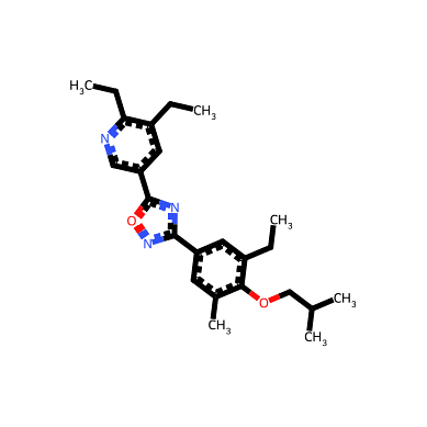 CCc1cc(-c2nc(-c3cc(C)c(OCC(C)C)c(CC)c3)no2)cnc1CC